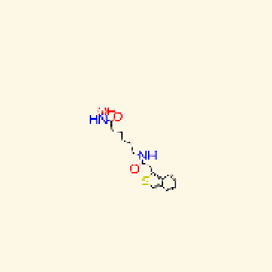 O=C(CCCCCNC(=O)Cc1scc2ccccc12)NO